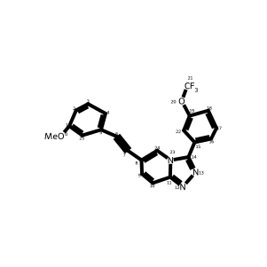 COc1cccc(C#Cc2ccc3nnc(-c4cccc(OC(F)(F)F)c4)n3c2)c1